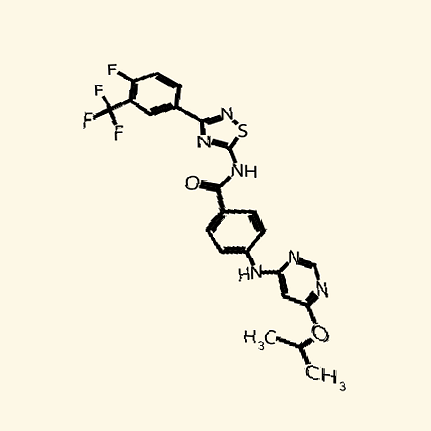 CC(C)Oc1cc(Nc2ccc(C(=O)Nc3nc(-c4ccc(F)c(C(F)(F)F)c4)ns3)cc2)ncn1